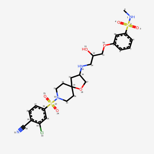 CNS(=O)(=O)c1cccc(OCC(O)CNC2COC3(CCN(S(=O)(=O)c4ccc(C#N)c(Cl)c4)CC3)C2)c1